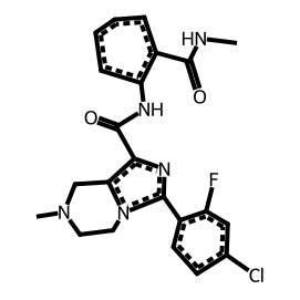 CNC(=O)c1ccccc1NC(=O)c1nc(-c2ccc(Cl)cc2F)n2c1CN(C)CC2